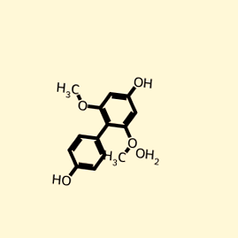 COc1cc(O)cc(OC)c1-c1ccc(O)cc1.O